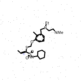 C/C=C(\SCOc1cccc(CN(CC)CCNC)c1C)S(=O)(=O)NC1CCCCC1